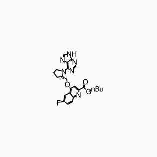 CCCCOC(=O)c1cc(OC[C@H]2CCCN2c2ncnc3[nH]cnc23)c2cc(F)ccc2n1